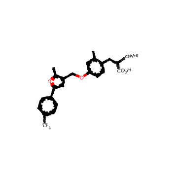 COC(Cc1ccc(OCc2cc(-c3ccc(C(F)(F)F)cc3)oc2C)cc1C)C(=O)O